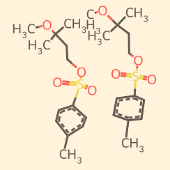 COC(C)(C)CCOS(=O)(=O)c1ccc(C)cc1.COC(C)(C)CCOS(=O)(=O)c1ccc(C)cc1